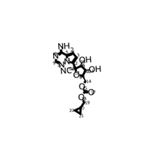 N#C[C@@]1(c2ccc3c(N)ncnn23)O[C@H](COC(=O)OCC2CC2)[C@@H](O)[C@H]1O